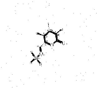 C[C@H]1[C@H](C)[C@@H](C)C(=O)O[C@@H]1CO[Si](C)(C)C